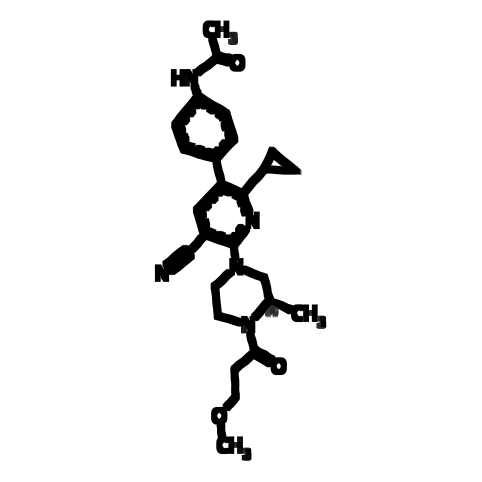 COCCC(=O)N1CCN(c2nc(C3CC3)c(-c3ccc(NC(C)=O)cc3)cc2C#N)C[C@H]1C